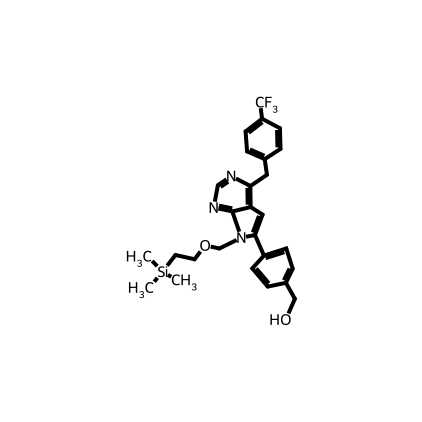 C[Si](C)(C)CCOCn1c(-c2ccc(CO)cc2)cc2c(Cc3ccc(C(F)(F)F)cc3)ncnc21